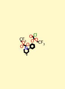 C[C@H]1CCN(C(=O)C(=O)OCC(F)(F)F)[C@@H](c2ccccc2)C1.O=C(Cl)C(=O)OCC(F)(F)F